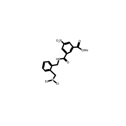 CCN(CC)Cc1ccccc1CNC(=O)c1cc(C(=O)OC)cc([N+](=O)[O-])c1